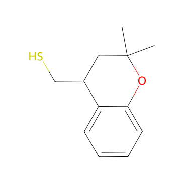 CC1(C)CC(CS)c2ccccc2O1